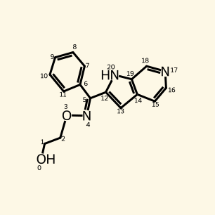 OCCON=C(c1ccccc1)c1cc2ccncc2[nH]1